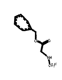 O=C(O)NCC(=O)OCc1ccccc1